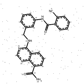 N#Cc1ccccc1C(=O)Nc1cccc(CNc2ncnc3c(C(N)=O)cccc23)c1